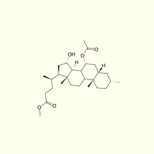 COC(=O)CC[C@@H](C)[C@H]1C[C@H](O)[C@H]2C3C(CC[C@]12C)[C@@]1(C)CC[C@@H](C)C[C@H]1C[C@H]3OC(C)=O